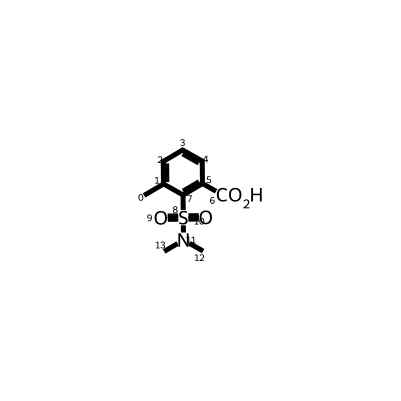 Cc1cccc(C(=O)O)c1S(=O)(=O)N(C)C